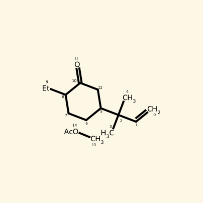 C=CC(C)(C)C1CCC(CC)C(=O)C1.COC(C)=O